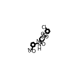 CN(C)C(=O)c1cccc(C2=NC3(CCN(S(=O)(=O)c4cccc(Cl)c4)CC3)C(=O)N2)c1